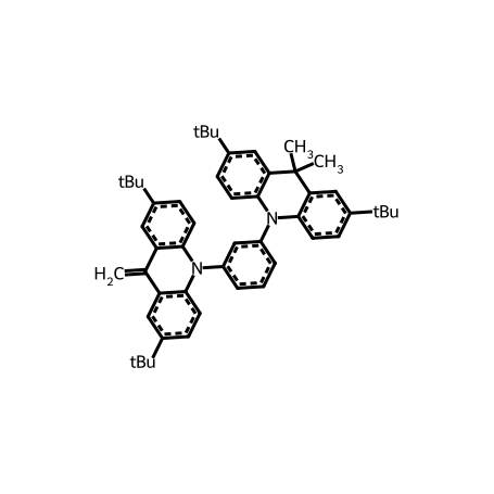 C=C1c2cc(C(C)(C)C)ccc2N(c2cccc(N3c4ccc(C(C)(C)C)cc4C(C)(C)c4cc(C(C)(C)C)ccc43)c2)c2ccc(C(C)(C)C)cc21